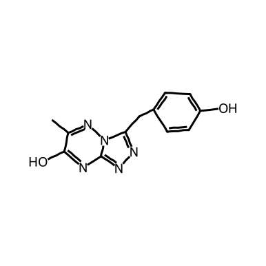 Cc1nn2c(Cc3ccc(O)cc3)nnc2nc1O